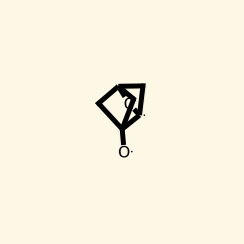 [O]C12CC3(C[C]1C3)C2